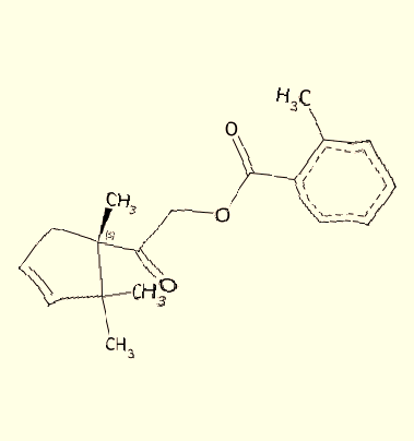 Cc1ccccc1C(=O)OCC(=O)[C@@]1(C)CC=CC1(C)C